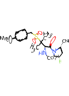 COc1ccc(CS(=O)(=O)C(C)(C)[C@H](NC(=O)O)C(=O)N2C[C@@H](F)C[C@H]2C#N)cc1